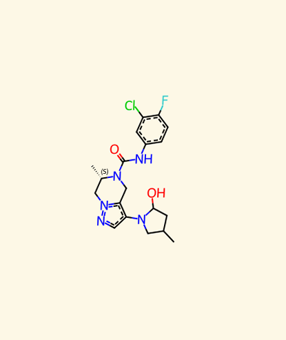 CC1CC(O)N(c2cnn3c2CN(C(=O)Nc2ccc(F)c(Cl)c2)[C@@H](C)C3)C1